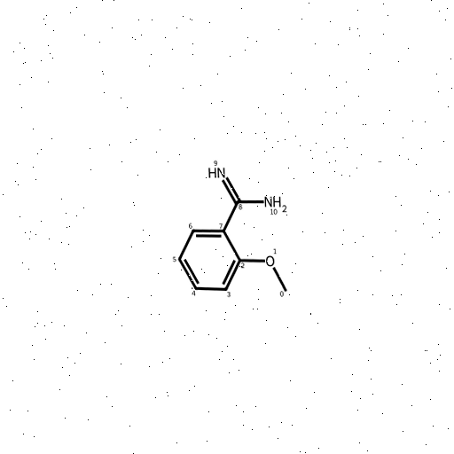 COc1c[c]ccc1C(=N)N